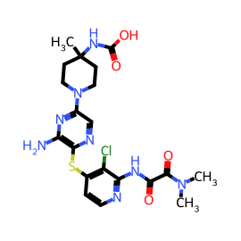 CN(C)C(=O)C(=O)Nc1nccc(Sc2ncc(N3CCC(C)(NC(=O)O)CC3)nc2N)c1Cl